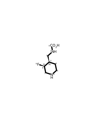 O=C(O)NC[C@H]1CCNC[C@H]1F